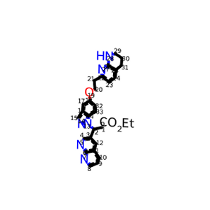 CCOC(=O)CC(c1cnc2ncccc2c1)n1ncc2cc(OCCc3ccc4c(n3)NCCC4)ccc21